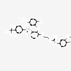 COc1ccc(Cl)c(Oc2c(NS(=O)(=O)c3ccc(C(C)(C)C)cc3)ncnc2OCCOC(=O)Nc2ccc3c(c2)OCO3)c1